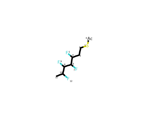 CC(=O)SCCC(F)C(F)C(F)C(C)F